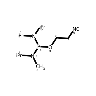 [C-]#[N+]CCOP(N(C)C(C)C)N(C(C)C)C(C)C